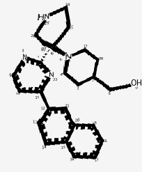 OCC1CCN([C@]2(c3nccc(-c4ccc5ccccc5c4)n3)CCNC2)CC1